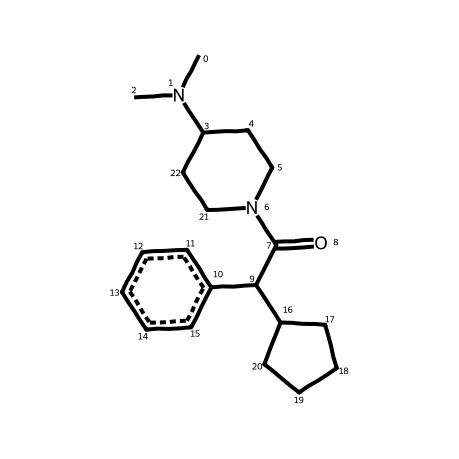 CN(C)C1CCN(C(=O)C(c2ccccc2)C2CCCC2)CC1